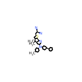 Cc1ccc(N(c2ccc(-c3ccccc3)cc2)c2cnc3c(c2)C(C)(C)c2cc(C=C(C#N)C#N)sc2-3)cc1